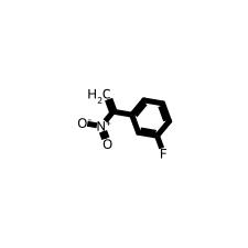 C=C(c1cccc(F)c1)[N+](=O)[O-]